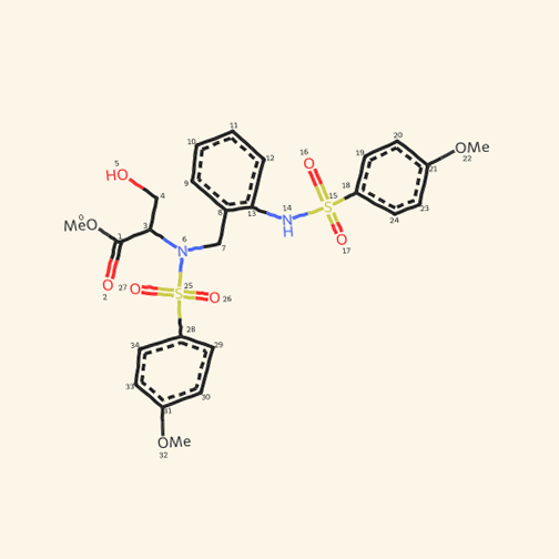 COC(=O)C(CO)N(Cc1ccccc1NS(=O)(=O)c1ccc(OC)cc1)S(=O)(=O)c1ccc(OC)cc1